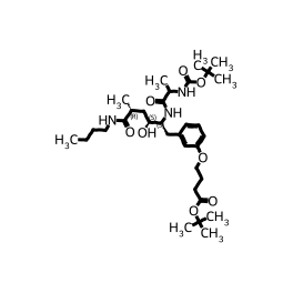 CCCCNC(=O)[C@H](C)C[C@H](O)[C@H](Cc1cccc(OCCCC(=O)OC(C)(C)C)c1)NC(=O)C(C)NC(=O)OC(C)(C)C